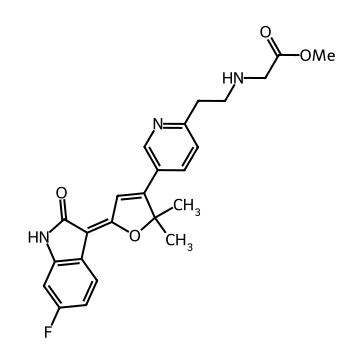 COC(=O)CNCCc1ccc(C2=C/C(=C3\C(=O)Nc4cc(F)ccc43)OC2(C)C)cn1